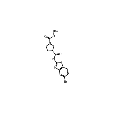 CC(C)(C)OC(=O)N1CC[C@H](C(=O)Nc2nc3cc(Br)ccc3s2)C1